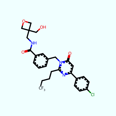 O=C(NCC1(CO)COC1)c1cccc(Cn2c(CCCC(F)(F)F)nc(-c3ccc(Cl)cc3)cc2=O)c1